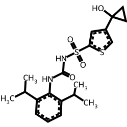 CC(C)c1cccc(C(C)C)c1NC(=O)NS(=O)(=O)c1cc(C2(O)CC2)cs1